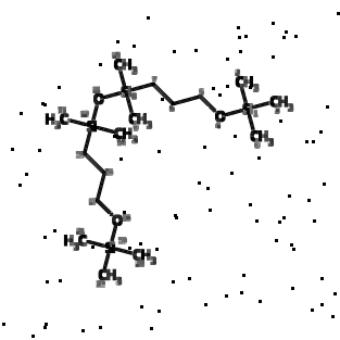 C[Si](C)(C)OCCC[Si](C)(C)O[Si](C)(C)CCCO[Si](C)(C)C